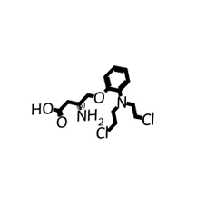 N[C@H](COc1ccccc1N(CCCl)CCCl)CC(=O)O